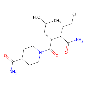 CCC[C@H](C(N)=O)[C@@H](CC(C)C)C(=O)N1CCC(C(N)=O)CC1